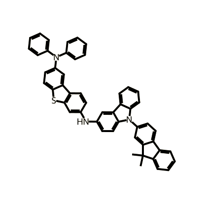 CC1(C)c2ccccc2-c2ccc(-n3c4ccccc4c4cc(Nc5ccc6c(c5)sc5ccc(N(c7ccccc7)c7ccccc7)cc56)ccc43)cc21